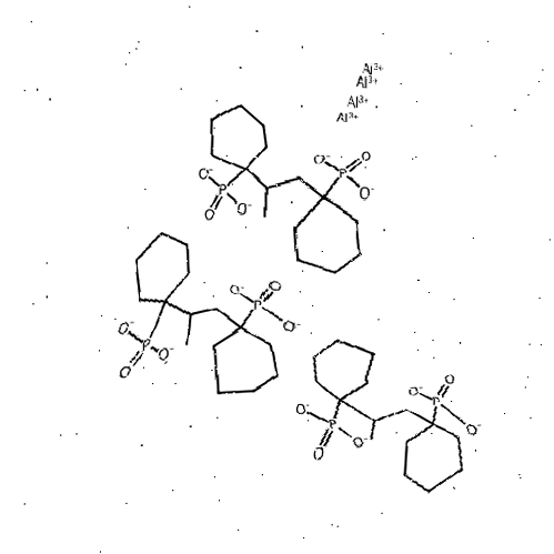 CC(CC1(P(=O)([O-])[O-])CCCCC1)C1(P(=O)([O-])[O-])CCCCC1.CC(CC1(P(=O)([O-])[O-])CCCCC1)C1(P(=O)([O-])[O-])CCCCC1.CC(CC1(P(=O)([O-])[O-])CCCCC1)C1(P(=O)([O-])[O-])CCCCC1.[Al+3].[Al+3].[Al+3].[Al+3]